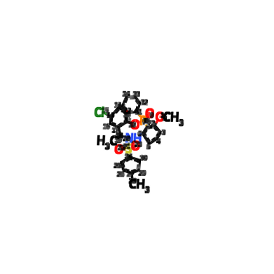 COc1ccccc1[P@](=O)(Oc1ccc(Cl)cc1[C@H](C)NS(=O)(=O)c1ccc(C)cc1)c1ccccc1